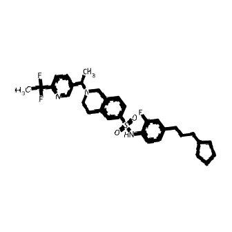 CC(c1ccc(C(C)(F)F)nc1)N1CCc2cc(S(=O)(=O)Nc3ccc(CCCC4CCCC4)cc3F)ccc2C1